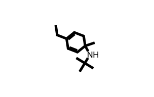 CCC1=CCC(C)(NC(C)(C)C)C=C1